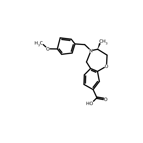 COc1ccc(CN2Cc3ccc(C(=O)O)cc3OC[C@@H]2C)cc1